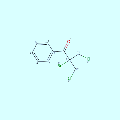 O=C(c1ccccc1)C(Br)(CCl)CCl